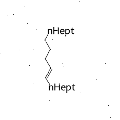 [CH2]CCCCCC/C=C/CCCCCCCCCC